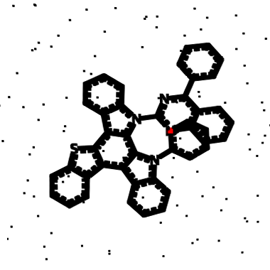 c1ccc(-c2nc(-n3c4ccccc4c4c5sc6ccccc6c5c5c6ccccc6n(-c6ccccc6)c5c43)nc3ccccc23)cc1